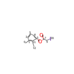 Cc1cccc(OC(=O)CI)c1C